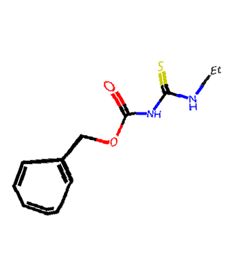 CCNC(=S)NC(=O)OCc1ccccc1